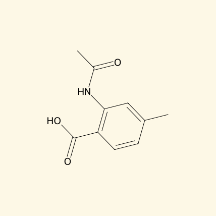 CC(=O)Nc1cc(C)ccc1C(=O)O